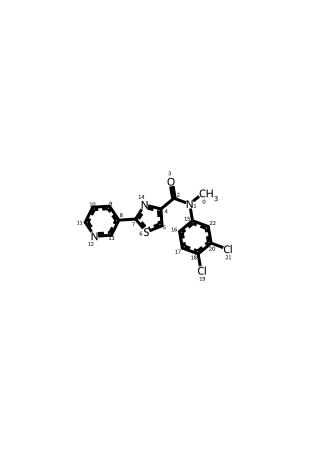 CN(C(=O)c1csc(-c2cccnc2)n1)c1ccc(Cl)c(Cl)c1